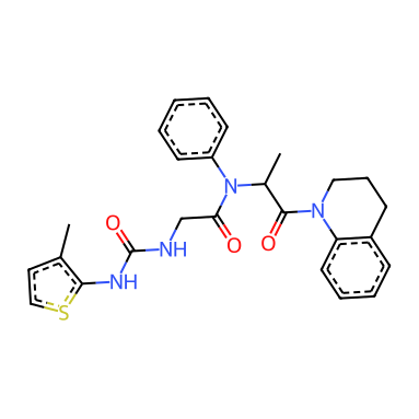 Cc1ccsc1NC(=O)NCC(=O)N(c1ccccc1)C(C)C(=O)N1CCCc2ccccc21